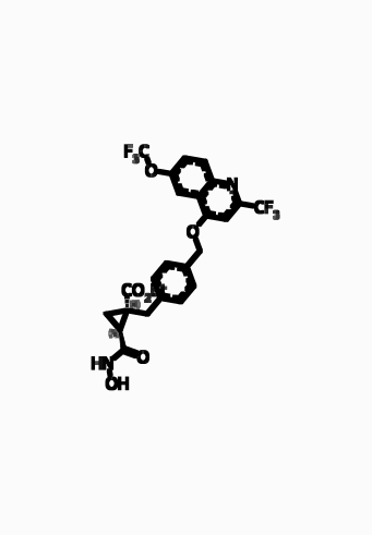 CCOC(=O)[C@@]1(Cc2ccc(COc3cc(C(F)(F)F)nc4ccc(OC(F)(F)F)cc34)cc2)C[C@@H]1C(=O)NO